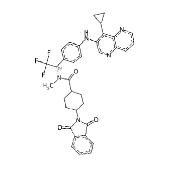 CN(C(=O)C1CCC(N2C(=O)c3ccccc3C2=O)CC1)[C@@H](c1ccc(Nc2cnc3cccnc3c2C2CC2)cc1)C(F)(F)F